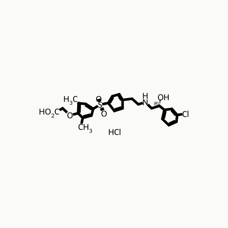 Cc1cc(S(=O)(=O)c2ccc(CCNC[C@H](O)c3cccc(Cl)c3)cc2)cc(C)c1OCC(=O)O.Cl